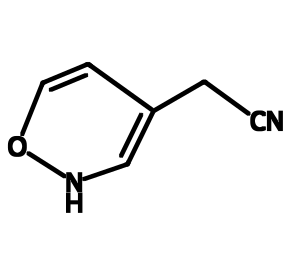 N#CCC1=CNOC=C1